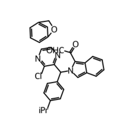 CC(C)c1ccc(C(c2nccnc2Cl)n2cc3ccccc3c2C(=O)C=O)cc1.c1cc2cc(c1)OC2